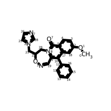 COc1ccc2c(=O)n3c(c(-c4ccccc4)c2c1)C=NOC(Cn1ccnc1)C3